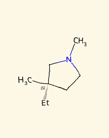 CC[C@@]1(C)CCN(C)C1